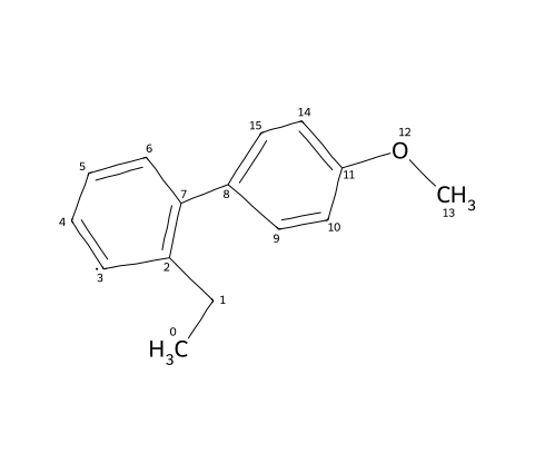 CCc1[c]cccc1-c1ccc(OC)cc1